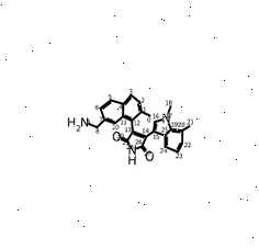 Cc1ccc2ccc(CN)cc2c1C1=C(c2cn(C)c3c(C)cccc23)C(=O)NC1=O